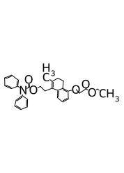 CCOC(=O)COc1cccc2c1CCC(C)=C2CCOC(=O)N(c1ccccc1)c1ccccc1